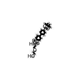 CC1(C)OB(c2ccc(-c3ccc(S(=O)(=O)NCCOCCO)cc3)cc2)OC1(C)C